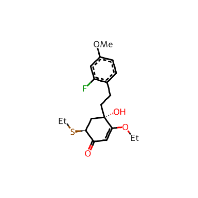 CCOC1=CC(=O)[C@@H](SCC)C[C@@]1(O)CCc1ccc(OC)cc1F